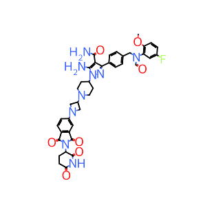 COc1ccc(F)cc1N(C=O)Cc1ccc(-c2nn(C3CCN(C4CN(c5ccc6c(c5)C(=O)N(C5CCC(=O)NC5=O)C6=O)C4)CC3)c(N)c2C(N)=O)cc1